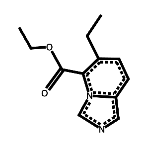 CCOC(=O)c1c(CC)ccc2cncn12